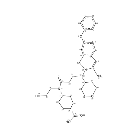 NC1=Nc2cnc(Oc3ccccc3)cc2CN1[C@@H](CCC(=O)N(CCO)[C@H]1CC[C@@H](C(=O)O)CC1)C1CCOCC1